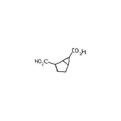 O=C(O)C1CCC2C(C(=O)O)C12